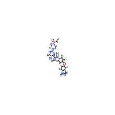 C=CC(=O)N1CCN(c2ncc3ncnc(Nc4ccc(Oc5ccc6c(c5)nnn6C)c(F)c4F)c3n2)CC1